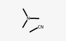 CC#N.CN(C)C